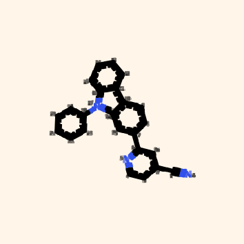 N#Cc1ccnc(-c2ccc3c4ccccc4n(-c4ccccc4)c3c2)c1